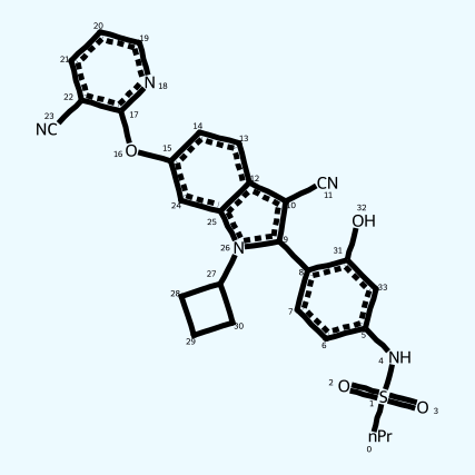 CCCS(=O)(=O)Nc1ccc(-c2c(C#N)c3ccc(Oc4ncccc4C#N)cc3n2C2CCC2)c(O)c1